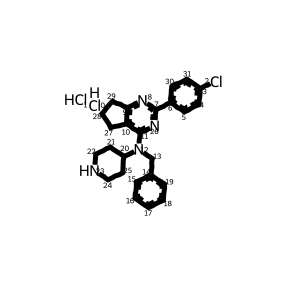 Cl.Cl.Clc1ccc(-c2nc3c(c(N(Cc4ccccc4)C4CCNCC4)n2)CCC3)cc1